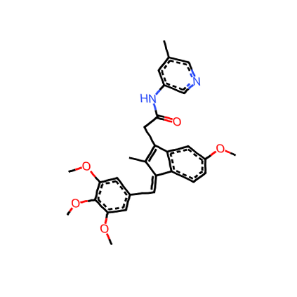 COc1ccc2c(c1)C(CC(=O)Nc1cncc(C)c1)=C(C)C2=Cc1cc(OC)c(OC)c(OC)c1